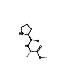 COC(=O)[C@H](C)NC(=O)[C@@H]1CCCN1